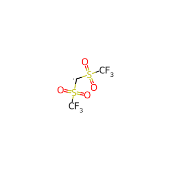 O=S(=O)([CH]S(=O)(=O)C(F)(F)F)C(F)(F)F